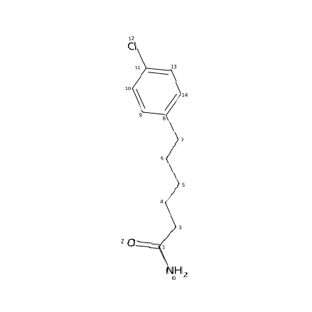 NC(=O)CCCCCc1ccc(Cl)cc1